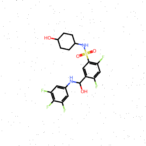 O=S(=O)(NC1CCC(O)CC1)c1cc(C(O)Nc2cc(F)c(F)c(F)c2)c(F)cc1F